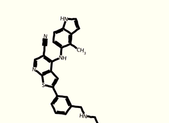 Cc1c(Nc2c(C#N)cnc3sc(-c4cccc(CNCCO)c4)cc23)ccc2[nH]ccc12